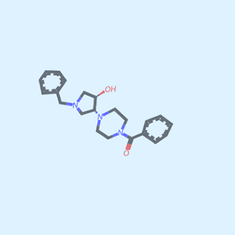 O=C(c1ccccc1)N1CCN([C@@H]2CN(Cc3ccccc3)C[C@H]2O)CC1